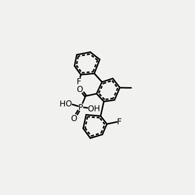 Cc1cc(-c2ccccc2F)c(C(=O)P(=O)(O)O)c(-c2ccccc2F)c1